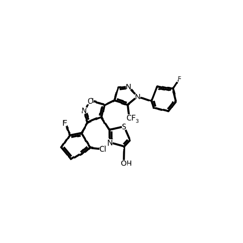 Oc1csc(-c2c(-c3c(F)cccc3Cl)noc2-c2cnn(-c3cccc(F)c3)c2C(F)(F)F)n1